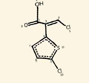 O=C(O)/C(=C/Cl)c1ccc(Cl)s1